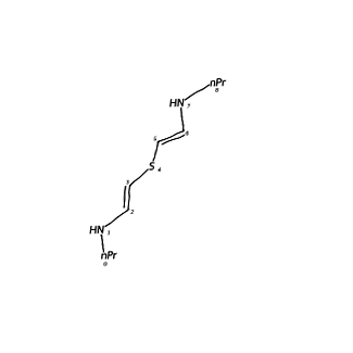 CCCNC=CSC=CNCCC